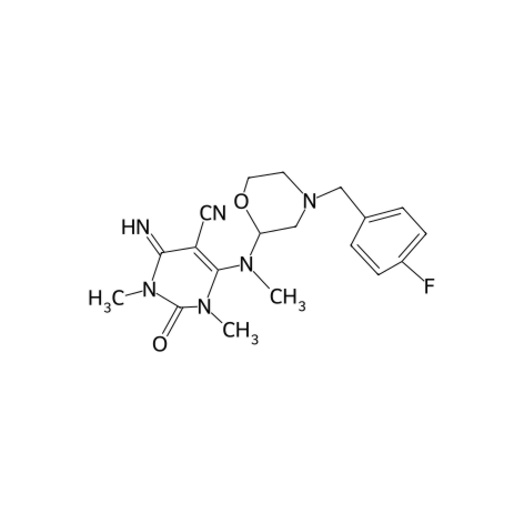 CN(c1c(C#N)c(=N)n(C)c(=O)n1C)C1CN(Cc2ccc(F)cc2)CCO1